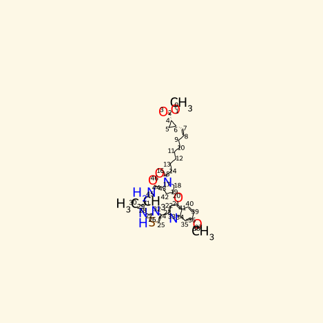 COC(=O)[C@H]1C[C@H]1/C=C\CCCCCCC(=O)N1C[C@H](Oc2cc(-c3csc(NC(C)C)n3)nc3cc(OC)ccc23)C[C@H]1C(N)=O